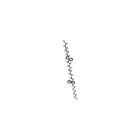 CCCCCCCCOC(=O)CCCCCCCCCCC(=O)OCCCCCCCC